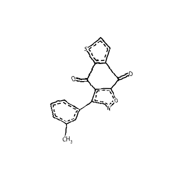 Cc1cccc(-c2noc3c2C(=O)c2sccc2C3=O)c1